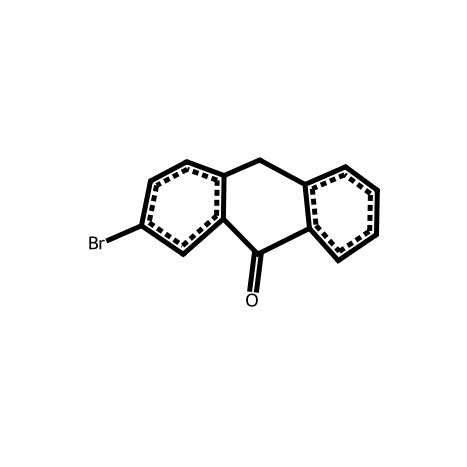 O=C1c2ccccc2Cc2ccc(Br)cc21